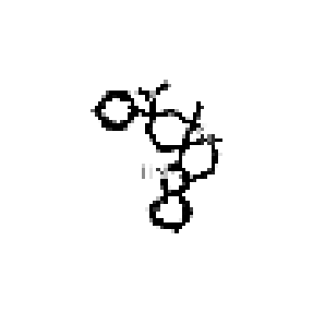 CN(C)C1(c2ccccc2)CCC2(NCCc3c2[nH]c2ccccc32)C(F)(F)C1